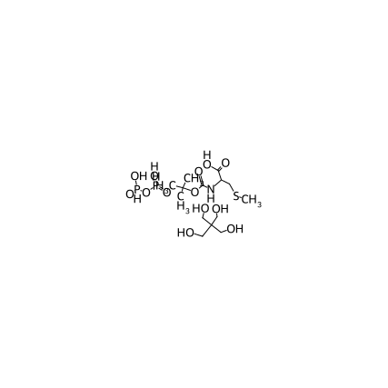 CSCC(NC(=O)OC(C)(C)C)C(=O)O.O=[PH](O)O[PH](=O)O.OCC(CO)(CO)CO